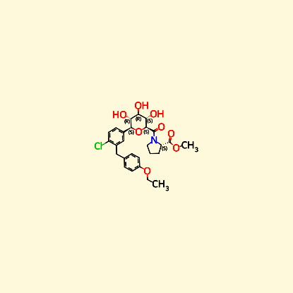 CCOc1ccc(Cc2cc([C@@H]3O[C@H](C(=O)N4CCC[C@H]4C(=O)OC)[C@@H](O)[C@H](O)[C@H]3O)ccc2Cl)cc1